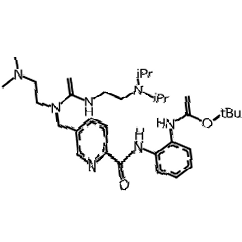 C=C(Nc1ccccc1NC(=O)c1ccc(CN(CCN(C)C)C(=C)NCCN(C(C)C)C(C)C)cn1)OC(C)(C)C